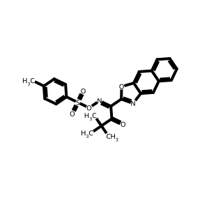 Cc1ccc(S(=O)(=O)O/N=C(\C(=O)C(C)(C)C)c2nc3cc4ccccc4cc3o2)cc1